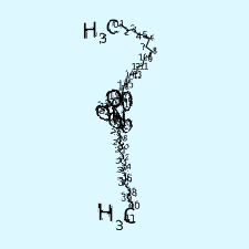 CCCCC/C=C\C/C=C\CCCCCCCC(=O)OC(CO)COC(=O)CCCCCCCCCCCCCCC